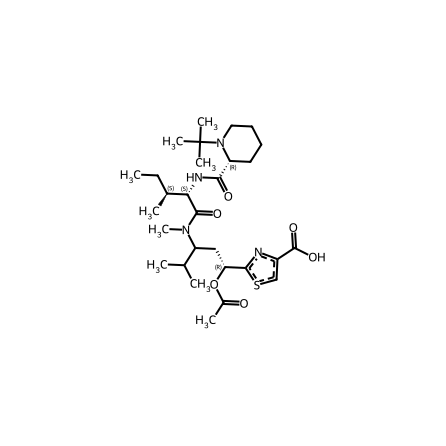 CC[C@H](C)[C@H](NC(=O)[C@H]1CCCCN1C(C)(C)C)C(=O)N(C)C(C[C@@H](OC(C)=O)c1nc(C(=O)O)cs1)C(C)C